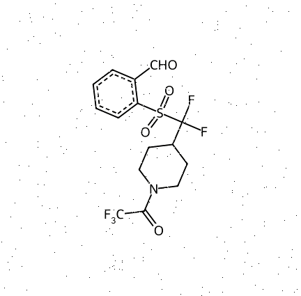 O=Cc1ccccc1S(=O)(=O)C(F)(F)C1CCN(C(=O)C(F)(F)F)CC1